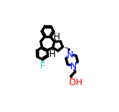 OCCN1CCN(C[C@H]2C[C@@H]3c4ccccc4Cc4ccc(F)cc4[C@H]3C2)CC1